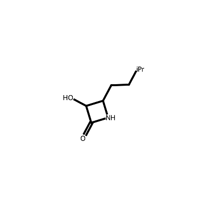 CC(C)CCC1NC(=O)C1O